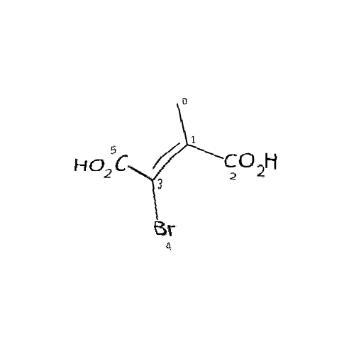 CC(C(=O)O)=C(Br)C(=O)O